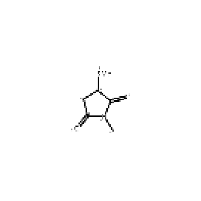 C=C1C(SC)CC(=O)N1C